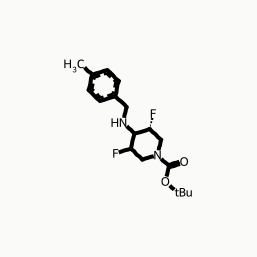 Cc1ccc(CNC2C(F)CN(C(=O)OC(C)(C)C)C[C@H]2F)cc1